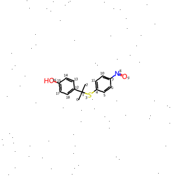 CC(C)(Sc1ccc(N=O)cc1)c1ccc(O)cc1